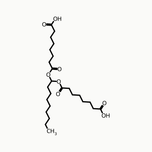 CCCCCCCCC(OC(=O)CCCCCCC(=O)O)OC(=O)CCCCCCC(=O)O